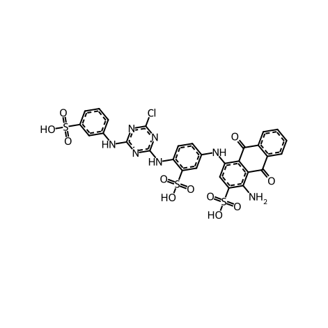 Nc1c(S(=O)(=O)O)cc(Nc2ccc(Nc3nc(Cl)nc(Nc4cccc(S(=O)(=O)O)c4)n3)c(S(=O)(=O)O)c2)c2c1C(=O)c1ccccc1C2=O